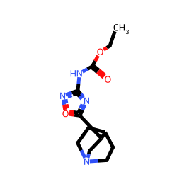 CCOC(=O)Nc1noc(C2CN3CCC2CC3)n1